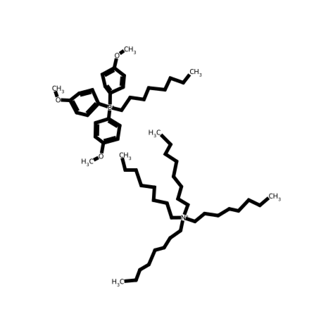 CCCCCCCC[B-](c1ccc(OC)cc1)(c1ccc(OC)cc1)c1ccc(OC)cc1.CCCCCCCC[N+](CCCCCCCC)(CCCCCCCC)CCCCCCCC